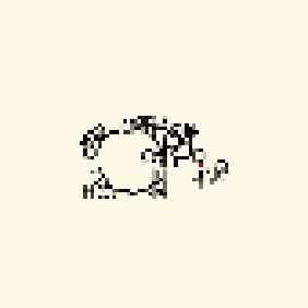 CO[C@H]1/C=C/O[C@@]2(C)Oc3c(C)c(O)c4c(=O)c(c5oc6cc(OCC[N+](C)(C(C)=O)C(C)(C)C)cc(O)c6nc-5c4c3C2=O)NC(=O)/C(C)=C\C=C\[C@H](C)[C@H](O)[C@@H](C)[C@@H](C)[C@@H](C)[C@H](OC(C)=O)[C@@H]1C